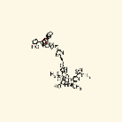 Cc1ncsc1-c1ccc([C@H](C)NC(=O)[C@@H]2C[C@@H](O)CN2C(=O)[C@@H](c2cc(OCC#Cc3ncc(O[C@H]4C[C@H](Oc5cc(N6C7CCC6CN(c6cc(-c8ccccc8O)nnc6N)C7)ccn5)C4)cn3)no2)C(C)C)cn1